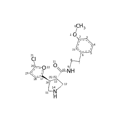 COc1cccc(CCNC(=O)[C@@H]2CNC[C@H]2c2ccc(Cl)o2)c1